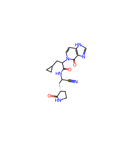 N#CC(C[C@@H]1CCNC1=O)NC(=O)C(CC1CC1)n1ccc2[nH]cnc2c1=O